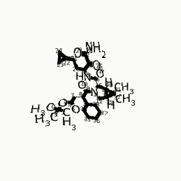 CC(C)(C)OC(=O)C[C@H](C(=O)N1C[C@H]2[C@@H]([C@H]1C(=O)NC(CCC1CC1)C(=O)C(N)=O)C2(C)C)C1CCCCC1